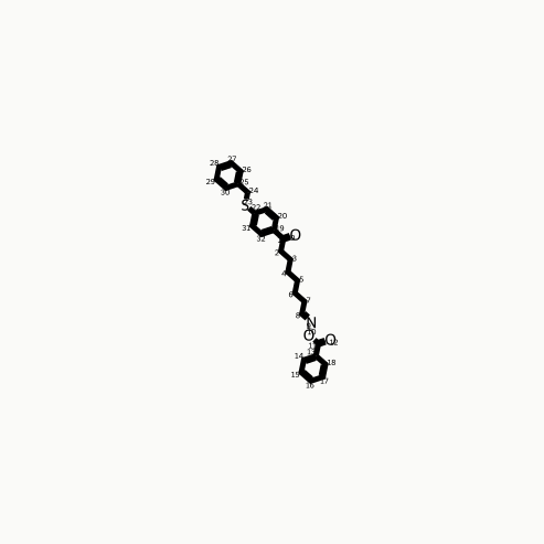 O=C(CCCCCCC=NOC(=O)c1ccccc1)c1ccc(SCc2ccccc2)cc1